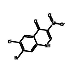 O=c1c([N+](=O)[O-])c[nH]c2cc(Br)c(Cl)cc12